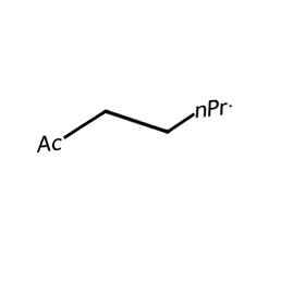 CC[CH]CCC(C)=O